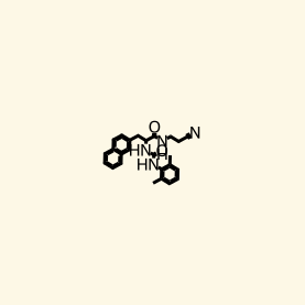 Cc1cccc(C)c1NC(=O)NC(Cc1ccc2ccccc2c1)C(=O)NCCC#N